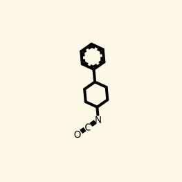 O=C=NC1CCC(c2ccccc2)CC1